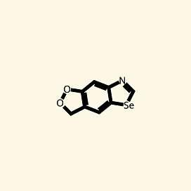 c1nc2cc3c(cc2[se]1)COO3